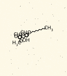 CCCCCCCCCCOc1ccc(C(O)c2c(OC)cc(OC)cc2OC)cc1